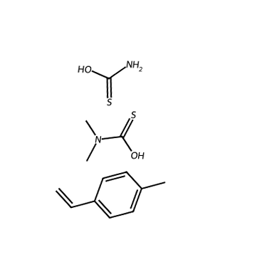 C=Cc1ccc(C)cc1.CN(C)C(O)=S.NC(O)=S